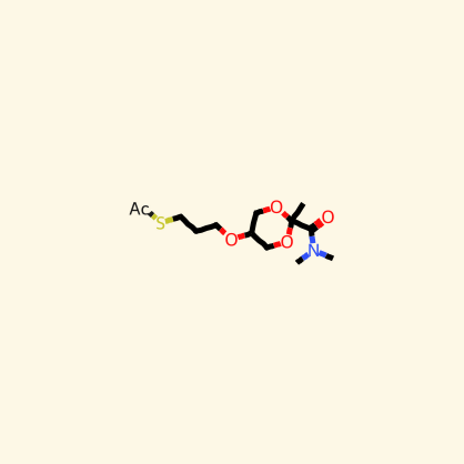 CC(=O)SCCCOC1COC(C)(C(=O)N(C)C)OC1